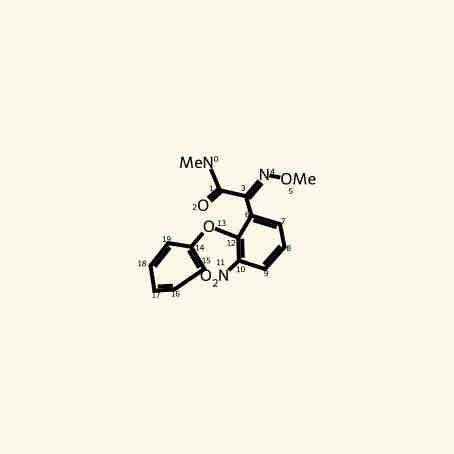 CNC(=O)/C(=N/OC)c1cccc([N+](=O)[O-])c1Oc1ccccc1